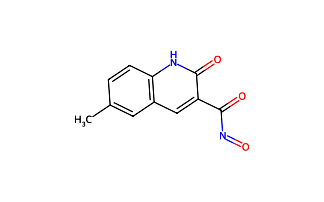 Cc1ccc2[nH]c(=O)c(C(=O)N=O)cc2c1